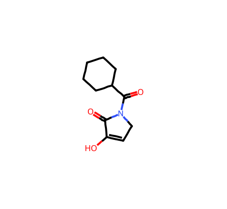 O=C1C(O)=CCN1C(=O)C1CCCCC1